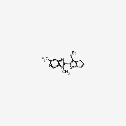 CCSc1c(-c2nc3cc(C(F)(F)F)ncc3n2C)sc2c1CC=C2